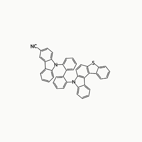 N#Cc1ccc2c(c1)c1ccccc1n2-c1ccccc1-c1ccccc1-n1c2ccccc2c2c3c(ccc21)sc1ccccc13